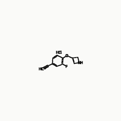 C#Cc1ccc(OC2CNC2)c(F)c1.Cl